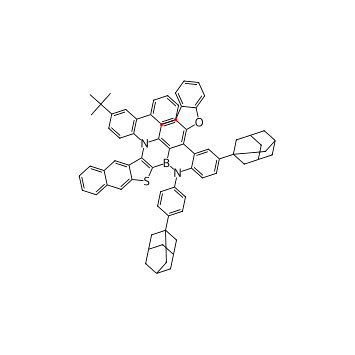 CC(C)(C)c1ccc(N2c3cc4c(oc5ccccc54)c4c3B(c3sc5cc6ccccc6cc5c32)N(c2ccc(C35CC6CC(CC(C6)C3)C5)cc2)c2ccc(C35CC6CC(CC(C6)C3)C5)cc2-4)c(-c2ccccc2)c1